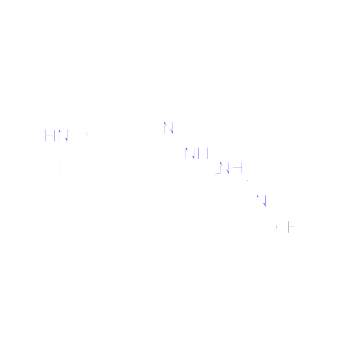 CC=C/C(=C\C1=C(C)NC(=O)C1)c1cnc(NC[C@@H](N)Cc2ccc(C(F)(F)F)nc2)s1